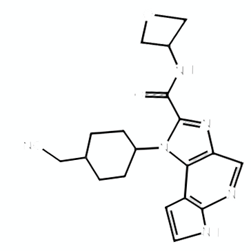 N#CCC1CCC(n2c(C(=O)NC3COC3)nc3cnc4[nH]ccc4c32)CC1